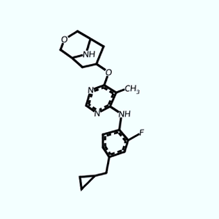 Cc1c(Nc2ccc(CC3CC3)cc2F)ncnc1OC1CC2COCC(C1)N2